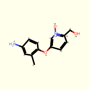 Cc1cc(N)ccc1Oc1ccc(CO)[n+]([O-])c1